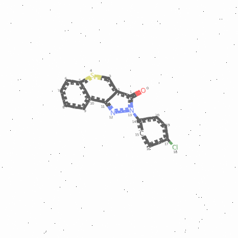 O=c1c2csc3ccccc3c-2nn1-c1ccc(Cl)cc1